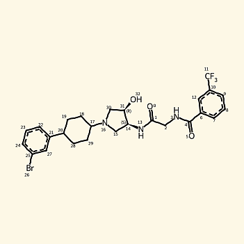 O=C(CNC(=O)c1cccc(C(F)(F)F)c1)N[C@H]1CN(C2CCC(c3cccc(Br)c3)CC2)C[C@H]1O